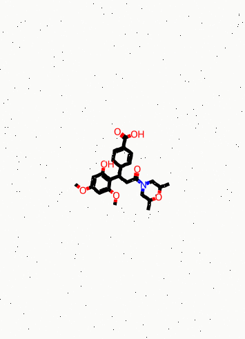 COc1cc(O)c(C(CC(=O)N2CC(C)OC(C)C2)C2C=CC(C(=O)O)=CC2)c(OC)c1